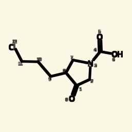 O=C1CN(C(=O)O)CC1CCCCl